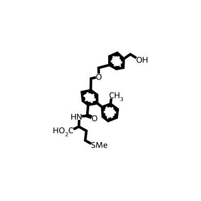 CSCCC(NC(=O)c1ccc(COCc2ccc(CO)cc2)cc1-c1ccccc1C)C(=O)O